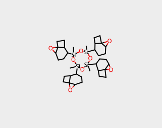 C[Si]1(C2CCC3OC34CCC24)O[Si](C)(C2CCC3OC34CCC24)O[Si](C)(C2CCC3OC34CCC24)O[Si](C)(C2CCC3OC34CCC24)O1